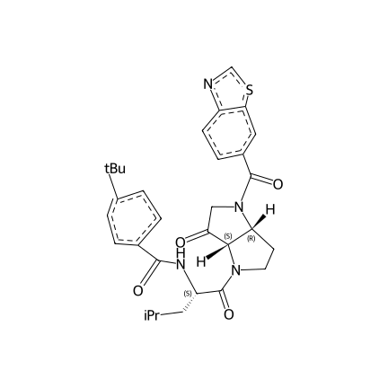 CC(C)C[C@H](NC(=O)c1ccc(C(C)(C)C)cc1)C(=O)N1CC[C@@H]2[C@H]1C(=O)CN2C(=O)c1ccc2ncsc2c1